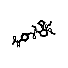 CCOC1(OCC)CCCC(N(CC)C(=O)Cc2ccc(NC(C)=O)cc2)C1N1CCC1